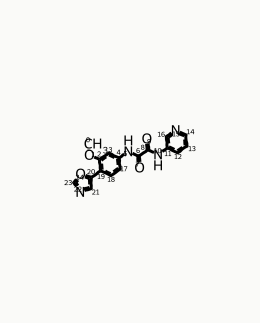 COc1cc(NC(=O)C(=O)Nc2cccnc2)ccc1-c1cnco1